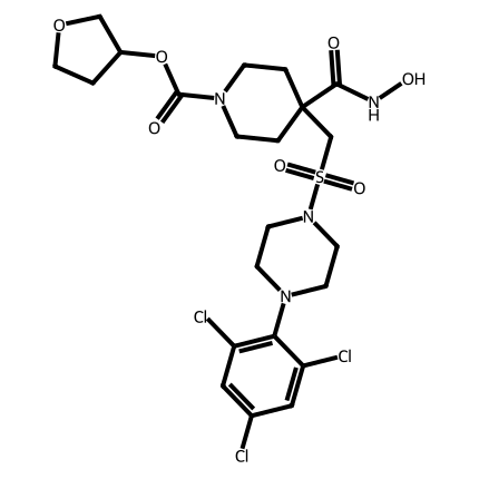 O=C(OC1CCOC1)N1CCC(CS(=O)(=O)N2CCN(c3c(Cl)cc(Cl)cc3Cl)CC2)(C(=O)NO)CC1